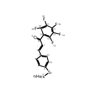 CCCCCCSc1ccc(/C=C/C(=O)c2c(F)c(F)c(F)c(F)c2F)cc1